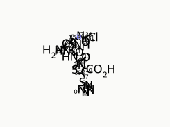 Cn1nnnc1SCC1=C(C(=O)O)N2C(=O)[C@H](NC(=O)C(NC(N)=O)c3cs/c(=N/C(=O)CCl)[nH]3)C2SC1